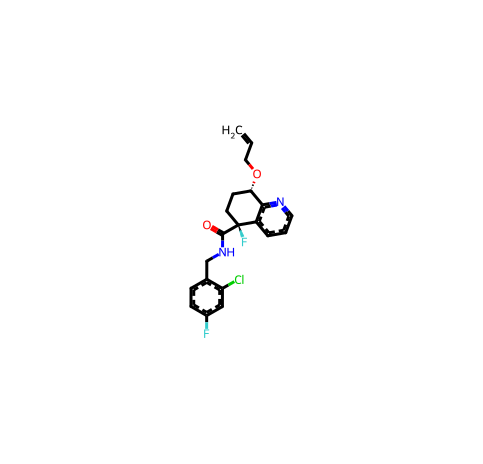 C=CCO[C@H]1CC[C@@](F)(C(=O)NCc2ccc(F)cc2Cl)c2cccnc21